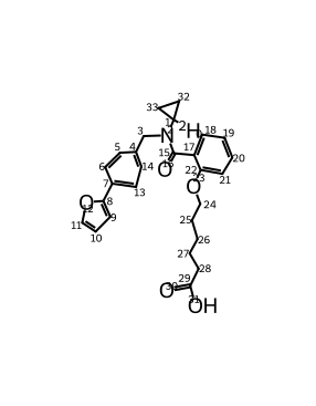 [2H]C1(N(Cc2ccc(-c3ccco3)cc2)C(=O)c2ccccc2OCCCCCC(=O)O)CC1